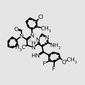 COc1ccc(C(=N)c2c(N)ncnc2NC(C)/C(=N/c2cccc(Cl)c2C)N(C=O)c2ccccc2)c(F)c1F